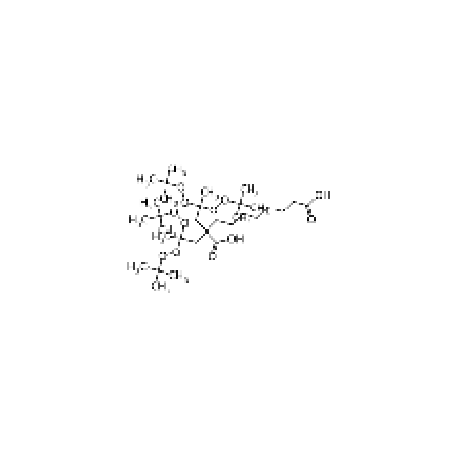 CC(C)(C)OOC(C)(CC(CCCCCCCC(=O)O)(CC(C)(OOC(C)(C)C)OOC(C)(C)C)C(=O)O)OOC(C)(C)C